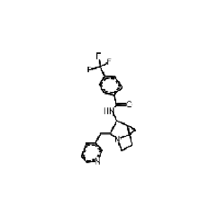 O=C(NC1C(Cc2cccnc2)N2CCC23CC13)c1ccc(C(F)(F)F)cc1